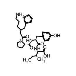 CC[C@H](C)[C@H](NC(=O)[C@H](Cc1ccc(O)cc1)NC(=O)[C@@H]1CCCN1C(=O)CC(CCCN)Cc1ccccc1)C(=O)O